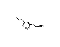 CCOC(=O)/C=C(\N)CCC#N